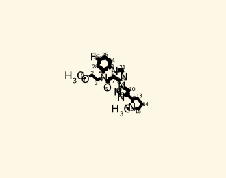 COCCn1c(=O)c2c(-n3cc(C4CCCN4C)nn3)ncn2c2ccc(F)cc21